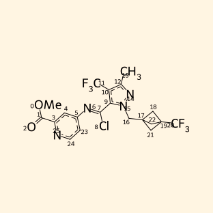 COC(=O)c1cc(/N=C(\Cl)c2c(C(F)(F)F)c(C)nn2CC23CC(C(F)(F)F)(C2)C3)ccn1